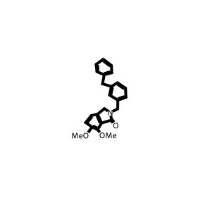 COc1ccc2c(c1OC)C(=O)N(Cc1cccc(Cc3ccccc3)c1)C2